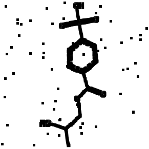 CC(O)COC(=O)c1ccc(S(=O)(=O)O)cc1